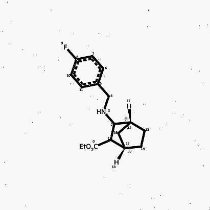 CCOC(=O)C1C(NCc2ccc(F)cc2)[C@@H]2CC[C@H]1C2